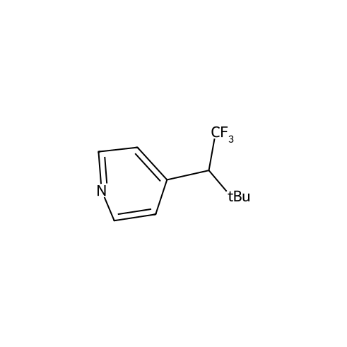 CC(C)(C)C(c1ccncc1)C(F)(F)F